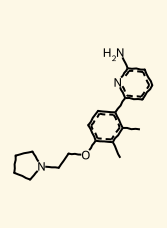 Cc1c(OCCN2CCCC2)ccc(-c2cccc(N)n2)c1C